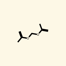 C=C(C)OCOC(=C)C